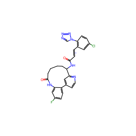 O=C(/C=C/c1cc(Cl)ccc1-n1cnnn1)NC1CCCCC(=O)Nc2cc(F)ccc2-c2ccnc1c2